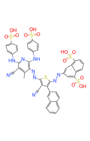 Cc1c(C#N)c(Nc2ccc(S(=O)(=O)O)cc2)nc(Nc2ccc(S(=O)(=O)O)cc2)c1N=Nc1sc(/N=N/c2cc(S(=O)(=O)O)c3cccc(S(=O)(=O)O)c3c2)c(-c2ccc3ccccc3c2)c1C#N